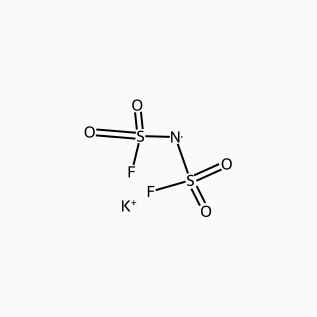 O=S(=O)(F)[N]S(=O)(=O)F.[K+]